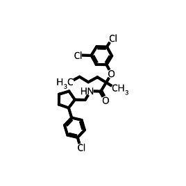 CCCCC(C)(Oc1cc(Cl)cc(Cl)c1)C(=O)NCC1CCCC1c1ccc(Cl)cc1